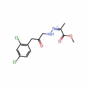 COC(=O)/C(C)=N\NCC(=O)Cc1ccc(Cl)cc1Cl